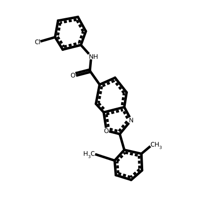 Cc1cccc(C)c1-c1nc2ccc(C(=O)Nc3cccc(Cl)c3)cc2o1